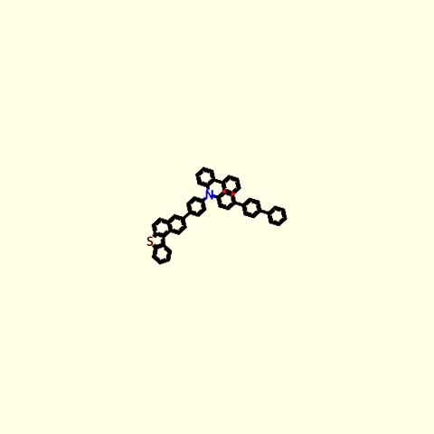 c1ccc(-c2ccc(-c3ccc(N(c4ccc(-c5ccc6c(ccc7sc8ccccc8c76)c5)cc4)c4ccccc4-c4ccccc4)cc3)cc2)cc1